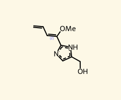 C=C/C=C(\OC)c1ncc(CO)[nH]1